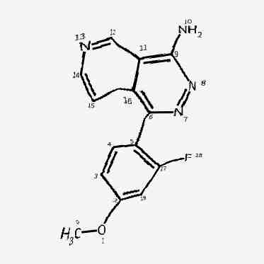 COc1ccc(-c2nnc(N)c3cnccc23)c(F)c1